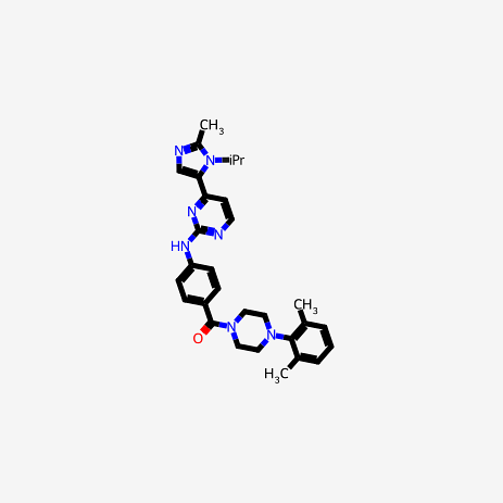 Cc1cccc(C)c1N1CCN(C(=O)c2ccc(Nc3nccc(-c4cnc(C)n4C(C)C)n3)cc2)CC1